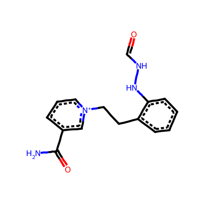 NC(=O)c1ccc[n+](CCc2ccccc2NNC=O)c1